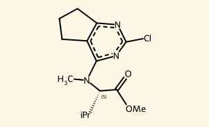 COC(=O)[C@H](C(C)C)N(C)c1nc(Cl)nc2c1CCC2